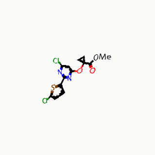 COC(=O)C1(Oc2cc(Cl)nc(-c3ccc(Cl)s3)n2)CC1